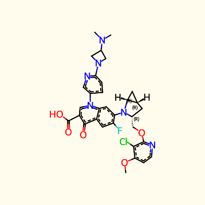 COc1ccnc(OC[C@H]2C[C@H]3C[C@H]3N2c2cc3c(cc2F)c(=O)c(C(=O)O)cn3-c2ccc(N3CC(N(C)C)C3)nc2)c1Cl